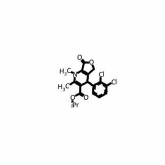 CC1=C(C(=O)OC(C)C)C(c2cccc(Cl)c2Cl)C2=C(C(=O)OC2)N1C